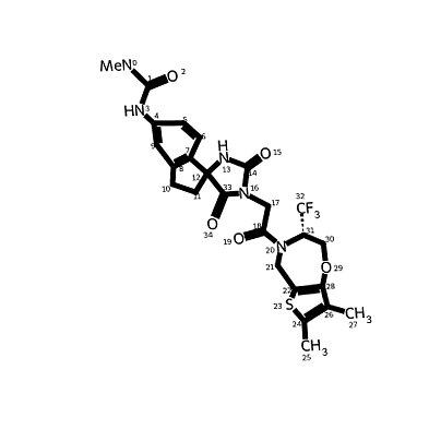 CNC(=O)Nc1ccc2c(c1)CCC21NC(=O)N(CC(=O)N2Cc3sc(C)c(C)c3OC[C@H]2C(F)(F)F)C1=O